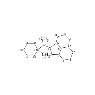 CC(C1CC2CCCC3CCCC1C32)C1(C)CCCCC1